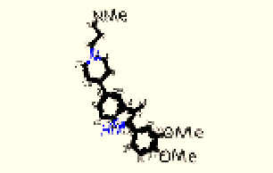 CNCCCN1CCC(c2ccc3[nH]c(-c4ccc(OC)c(OC)c4)c(C)c3c2)CC1